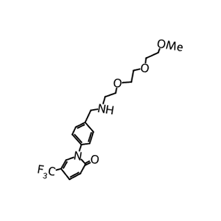 COCCOCCOCCNCc1ccc(-n2cc(C(F)(F)F)ccc2=O)cc1